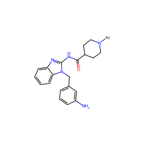 CC(=O)N1CCC(C(=O)Nc2nc3ccccc3n2Cc2cccc(N)c2)CC1